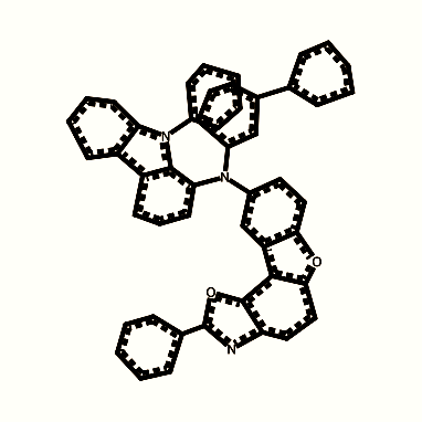 c1ccc(-c2cccc(N(c3ccc4oc5ccc6nc(-c7ccccc7)oc6c5c4c3)c3cccc4c5ccccc5n(-c5ccccc5)c34)c2)cc1